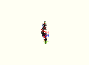 CC/C(=C/C(=O)c1ccc(C(F)(F)F)cc1)N[C@@H](Cc1ccc(OCCc2nc(-c3ccc(F)cc3)oc2CC)cc1)C(=O)O